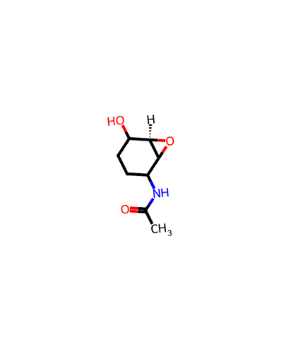 CC(=O)NC1CCC(O)[C@H]2OC12